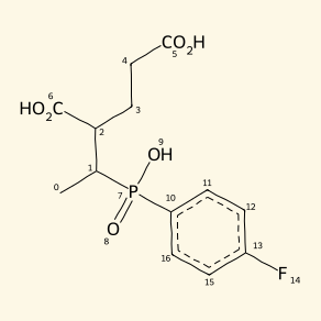 CC(C(CCC(=O)O)C(=O)O)P(=O)(O)c1ccc(F)cc1